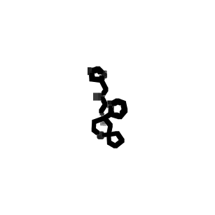 c1ccc([C@]2(CCNCc3cncs3)CCOC3(CCCC3)C2)nc1